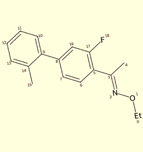 CCO/N=C(\C)c1ccc(-c2ccccc2C)cc1F